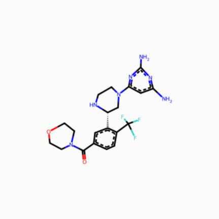 Nc1cc(N2CCN[C@@H](c3cc(C(=O)N4CCOCC4)ccc3C(F)(F)F)C2)nc(N)n1